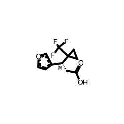 O=C(O)C[C@H](c1ccoc1)C1(C(F)(F)F)CC1